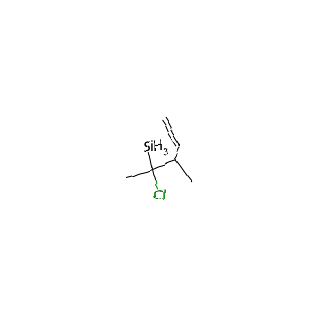 C=CC(C)C(C)([SiH3])Cl